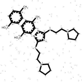 C1CCN(CCSc2nnc(SCCN3CCCC3)s2)C1.Cc1ccc(S(=O)(=O)O)cc1.Cc1ccc(S(=O)(=O)O)cc1